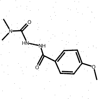 COc1ccc(C(=O)NNC(=O)N(C)C)cc1